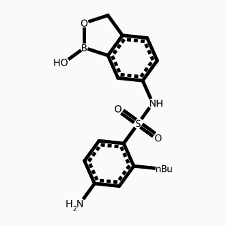 CCCCc1cc(N)ccc1S(=O)(=O)Nc1ccc2c(c1)B(O)OC2